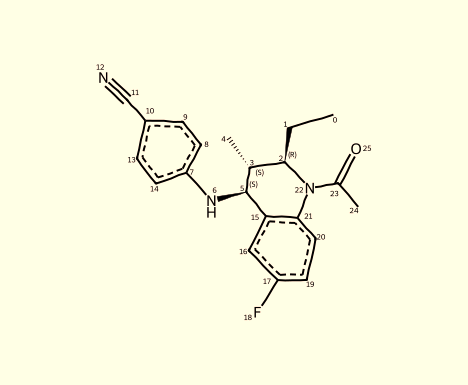 CC[C@@H]1[C@@H](C)[C@H](Nc2ccc(C#N)cc2)c2cc(F)ccc2N1C(C)=O